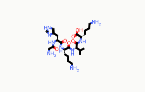 CC(C)[C@H](NC(=O)[C@H](CCCCN)NC(=O)[C@H](Cc1c[nH]cn1)NC(=O)CN)C(=O)N[C@@H](CCCCN)C(=O)O